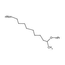 CCCCCCCCCCCCCCCCCC(C)OCCC